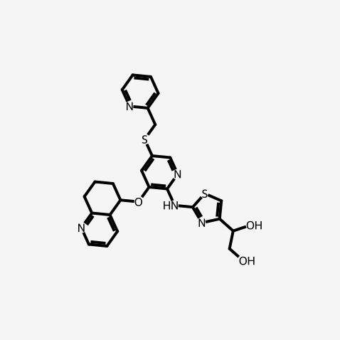 OCC(O)c1csc(Nc2ncc(SCc3ccccn3)cc2OC2CCCc3ncccc32)n1